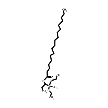 CCCCCCCCCCCCCCCCCC(=O)NC(CC)[Si](C)(OCC)OCC